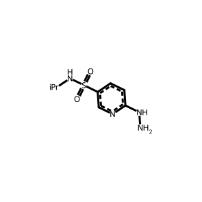 CC(C)NS(=O)(=O)c1ccc(NN)nc1